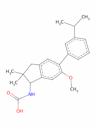 COc1cc2c(cc1-c1cccc(C(C)C)c1)CC(C)(C)C2NC(=O)O